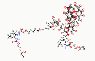 C=CC(=O)OCCOC(=O)NC1CC(C)(C)CC(C)(CNC(=O)OCCCCCCOCCC[Si](C)(C)O[SiH2][Si](=O)[Si](=O)[Si](=O)[Si](=O)[Si](=O)[Si](=O)[Si](=O)[Si](=O)[Si](=O)[Si](=O)[Si](=O)[Si](=O)[Si](=O)[Si](=O)[Si](=O)[Si](=O)[Si](=O)[Si](=O)[Si](=O)[Si](=O)[Si](=O)[Si](=O)[Si](=O)[Si](=O)[Si](=O)[Si](=O)[Si](=O)[Si](=O)[Si](=O)[Si](=O)[Si](=O)[Si](=O)[Si](=O)[Si](=O)[Si](=O)[Si](C)(C)O[Si](C)(C)CCCOCCC(=O)C2(C)CC(NC(=O)OCCOC(=O)C=C)CC(C)(C)C2)C1